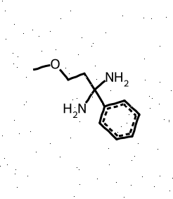 COCCC(N)(N)c1ccccc1